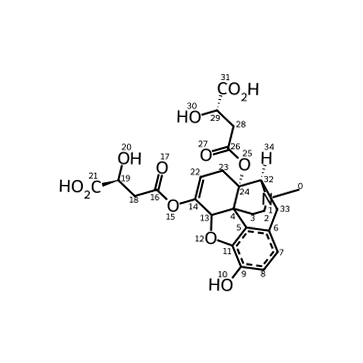 CN1CCC23c4c5ccc(O)c4OC2C(OC(=O)C[C@H](O)C(=O)O)=CC[C@@]3(OC(=O)C[C@H](O)C(=O)O)[C@H]1C5